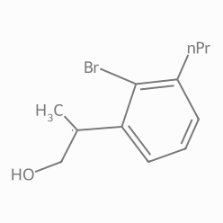 CCCc1cccc([C](C)CO)c1Br